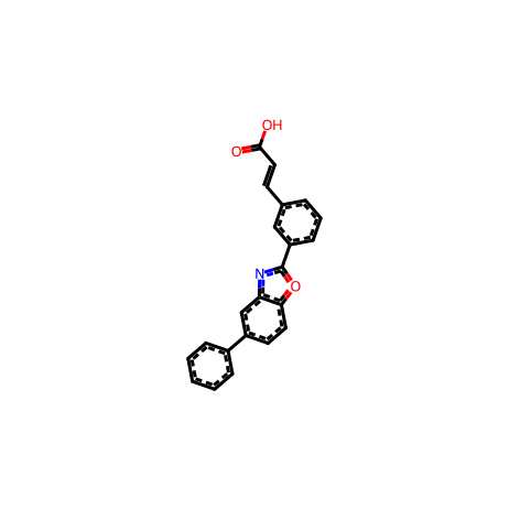 O=C(O)/C=C/c1cccc(-c2nc3cc(-c4ccccc4)ccc3o2)c1